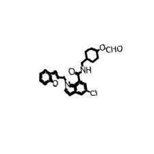 O=COC1CCC(CNC(=O)c2cc(Cl)cc3ccn(Cc4cc5ccccc5o4)c23)CC1